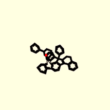 c1ccc(C2CCC[C@@H](n3c4ccccc4c4ccc5c(c43)C(c3ccccc3)(c3ccccc3)C3=C5c4ccccc4CC3)C2)cc1